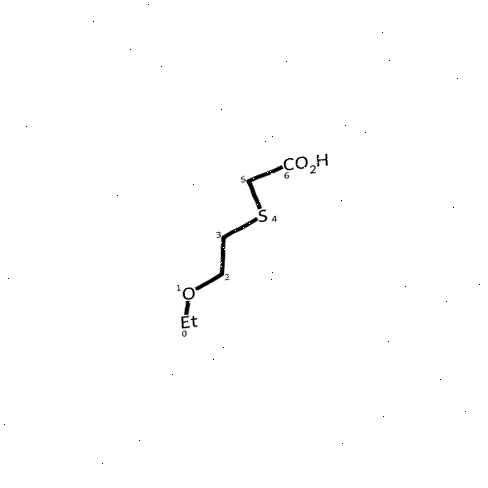 CCOCCSCC(=O)O